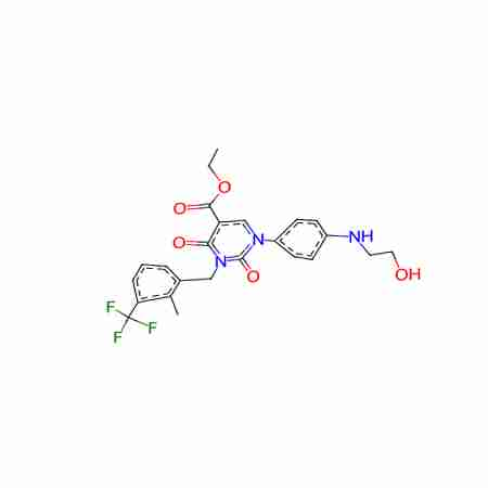 CCOC(=O)c1cn(-c2ccc(NCCO)cc2)c(=O)n(Cc2cccc(C(F)(F)F)c2C)c1=O